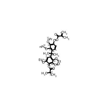 C=C(C)C(=O)OOc1ccc(C(C)(C)c2cc(OCC)c(OC(=O)C(=C)C)c(OCC)c2OCC)c(OCCC)c1OCCC